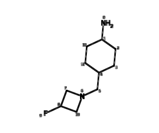 NC1CCC(CN2CC(F)C2)CC1